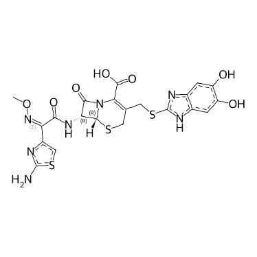 CO/N=C(\C(=O)N[C@@H]1C(=O)N2C(C(=O)O)=C(CSc3nc4cc(O)c(O)cc4[nH]3)CS[C@H]12)c1csc(N)n1